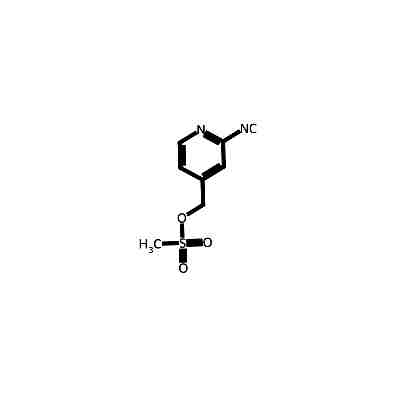 [C-]#[N+]c1cc(COS(C)(=O)=O)ccn1